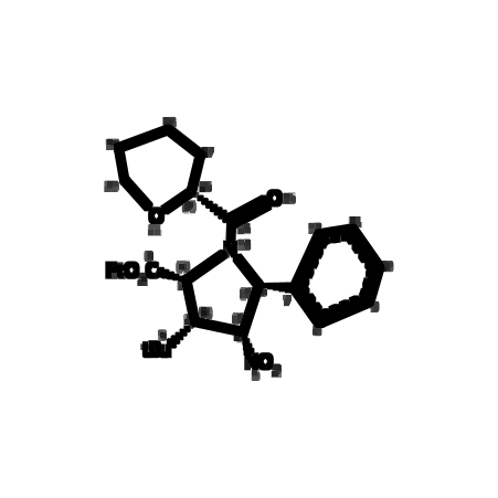 CCOC(=O)[C@H]1[C@@H](C(C)(C)C)[C@@H]([N+](=O)[O-])[C@@H](c2ccccc2)N1C(=O)[C@H]1CCCCO1